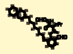 CCCC(C(=O)NC=O)N(C)Cc1c(C=O)cccc1SCCCCCCCN1CCC2(CCCCC2)CC1